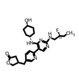 CC[C@H](F)CNc1ncc(-c2ccc(CC3COC(=O)C3)cn2)c(N[C@H]2CC[C@H](O)CC2)n1